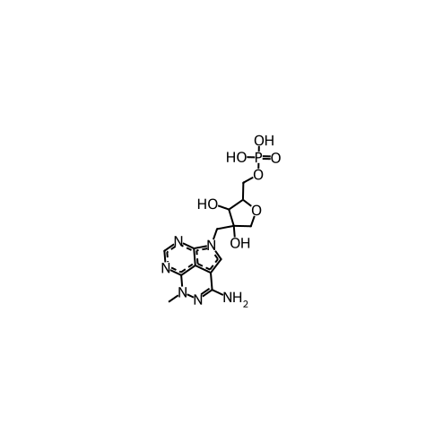 CN1N=C(N)c2cn(CC3(O)COC(COP(=O)(O)O)C3O)c3ncnc1c23